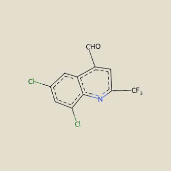 O=Cc1cc(C(F)(F)F)nc2c(Cl)cc(Cl)cc12